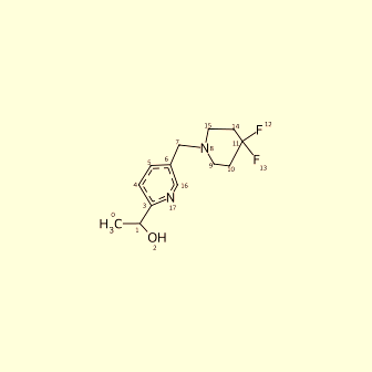 CC(O)c1ccc(CN2CCC(F)(F)CC2)cn1